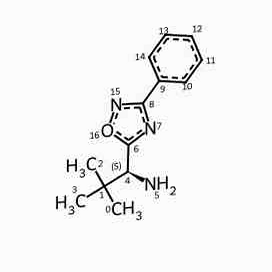 CC(C)(C)[C@H](N)c1nc(-c2ccccc2)no1